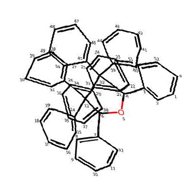 c1ccc(C(OC(c2ccccc2)C(c2ccccc2)(c2ccccc2)c2ccccc2)C(c2ccccc2)(c2ccccc2)c2ccccc2)cc1